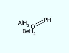 O=P.[AlH3].[BeH2]